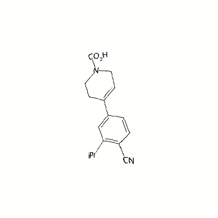 CC(C)c1cc(C2=CCN(C(=O)O)CC2)ccc1C#N